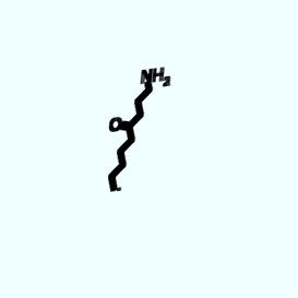 [CH2]CCCCC(=O)CCCN